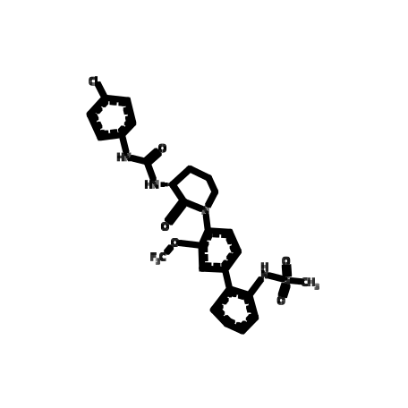 CS(=O)(=O)Nc1ccccc1-c1ccc(N2CCC[C@@H](NC(=O)Nc3ccc(Cl)cc3)C2=O)c(OC(F)(F)F)c1